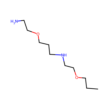 CCCOCCNCCCOCCN